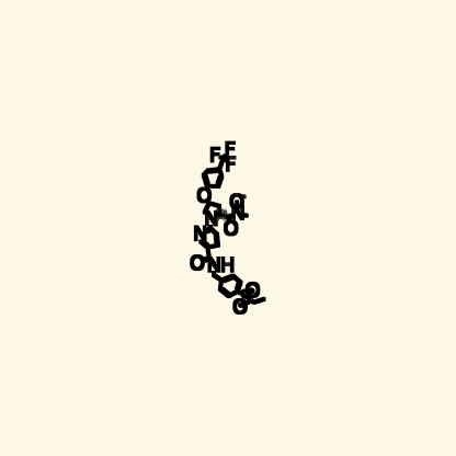 CCS(=O)(=O)c1ccc(CNC(=O)c2ccc(N3CC(Oc4ccc(C(F)(F)F)cc4)C[C@H]3C(=O)N(C)OC)nc2)cc1